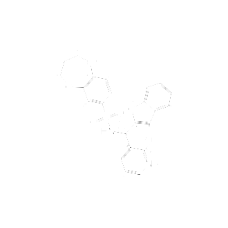 O=S(=O)(NC(c1cc2ccccc2o1)c1cccnc1Cl)c1ccc2c(c1)OCCCO2